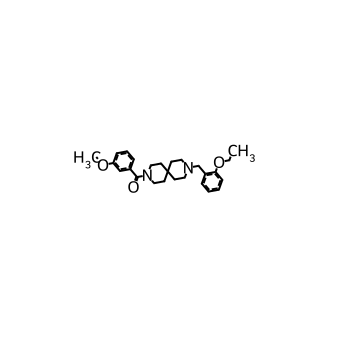 CCOc1ccccc1CN1CCC2(CC1)CCN(C(=O)c1cccc(OC)c1)CC2